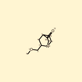 COCC1CC2CCN1CC2=O